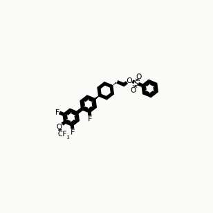 O=S(=O)(OCC[C@H]1CC[C@H](c2ccc(-c3cc(F)c(OC(F)(F)F)c(F)c3)c(F)c2)CC1)c1ccccc1